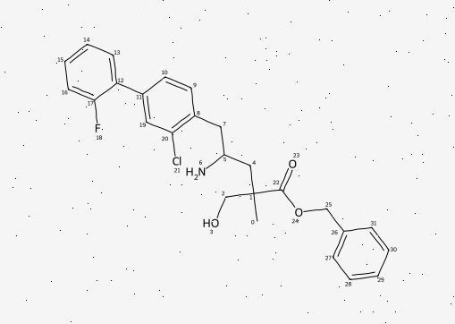 CC(CO)(CC(N)Cc1ccc(-c2ccccc2F)cc1Cl)C(=O)OCc1ccccc1